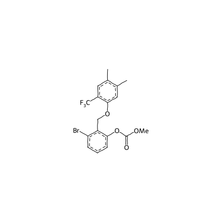 COC(=O)Oc1cccc(Br)c1COc1cc(C)c(C)cc1C(F)(F)F